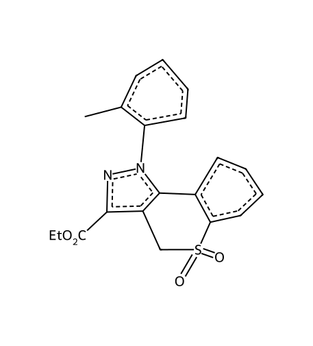 CCOC(=O)c1nn(-c2ccccc2C)c2c1CS(=O)(=O)c1ccccc1-2